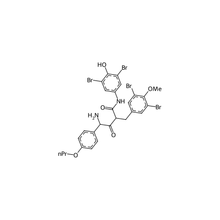 CCCOc1ccc(C(N)C(=O)C(Cc2cc(Br)c(OC)c(Br)c2)C(=O)Nc2cc(Br)c(O)c(Br)c2)cc1